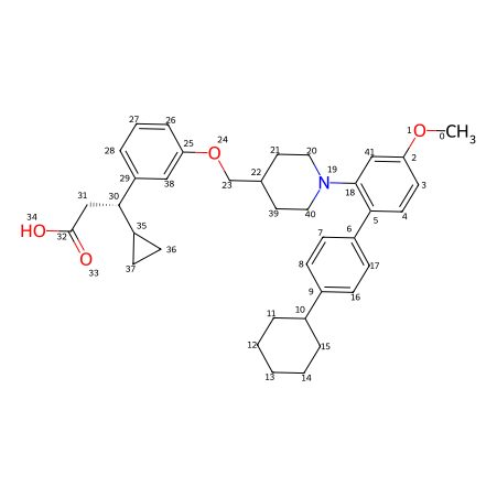 COc1ccc(-c2ccc(C3CCCCC3)cc2)c(N2CCC(COc3cccc([C@@H](CC(=O)O)C4CC4)c3)CC2)c1